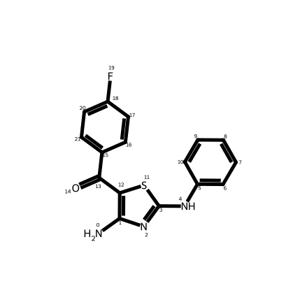 Nc1nc(Nc2ccccc2)sc1C(=O)c1ccc(F)cc1